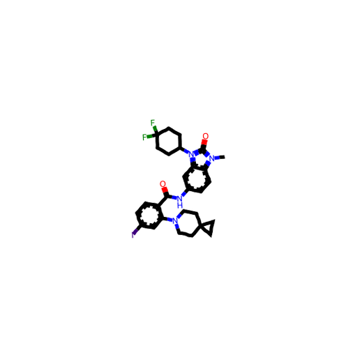 Cn1c(=O)n(C2CCC(F)(F)CC2)c2cc(NC(=O)c3ccc(I)cc3N3CCC4(CC3)CC4)ccc21